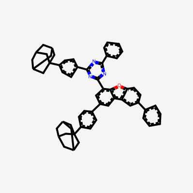 c1ccc(-c2ccc3oc4c(-c5nc(-c6ccccc6)nc(-c6ccc(C78CC9CC(CC(C9)C7)C8)cc6)n5)cc(-c5ccc(C67CC8CC(CC(C8)C6)C7)cc5)cc4c3c2)cc1